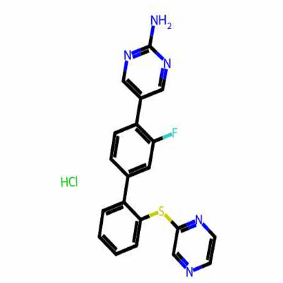 Cl.Nc1ncc(-c2ccc(-c3ccccc3Sc3cnccn3)cc2F)cn1